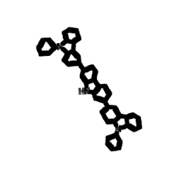 c1ccc(-n2c3ccccc3c3cc(-c4ccc5c(c4)[nH]c4cc(-c6ccc7c(c6)c6ccccc6n7-c6ccccc6)ccc45)ccc32)cc1